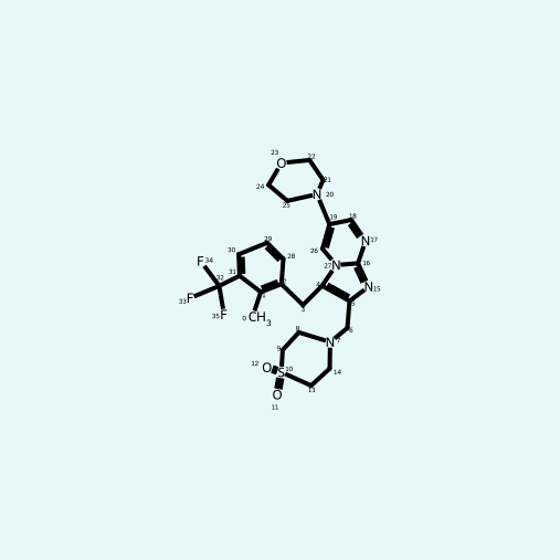 Cc1c(Cc2c(CN3CCS(=O)(=O)CC3)nc3ncc(N4CCOCC4)cn23)cccc1C(F)(F)F